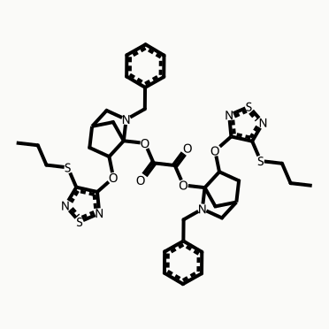 CCCSc1nsnc1OC1CC2CN(Cc3ccccc3)C1(OC(=O)C(=O)OC13CC(CC1Oc1nsnc1SCCC)CN3Cc1ccccc1)C2